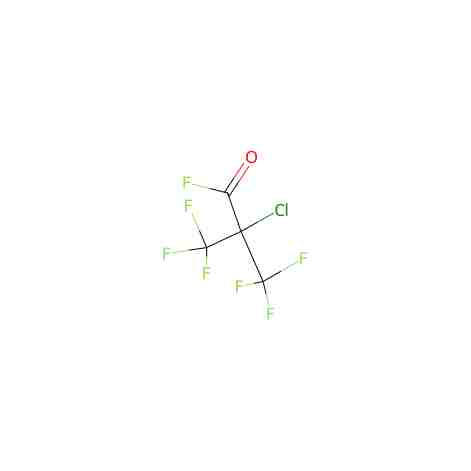 O=C(F)C(Cl)(C(F)(F)F)C(F)(F)F